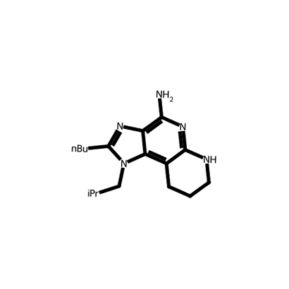 CCCCc1nc2c(N)nc3c(c2n1CC(C)C)CCCN3